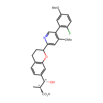 COc1ccc(F)c(-c2cnc(C3CCc4ccc([C@H](O)[C@H](C)C(=O)O)cc4O3)cc2OC)c1